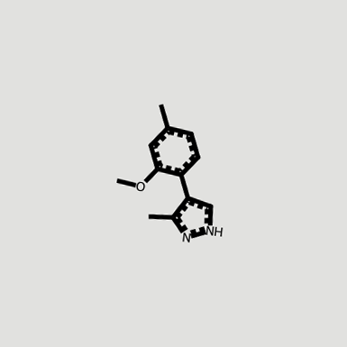 COc1cc(C)ccc1-c1c[nH]nc1C